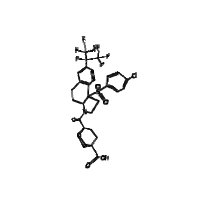 O=C(O)C12CCC(C(=O)N3CCC4(S(=O)(=O)c5ccc(Cl)cc5)c5ccc(C(F)(C(F)(F)F)C(F)(F)F)cc5CCC34)(CC1)OC2